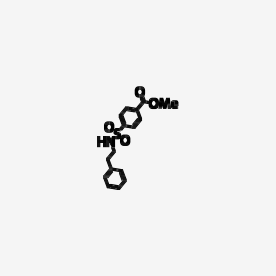 COC(=O)c1ccc(S(=O)(=O)NCCc2ccccc2)cc1